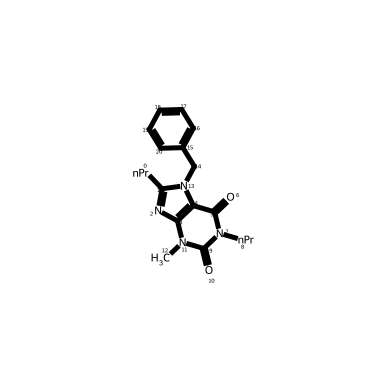 CCCc1nc2c(c(=O)n(CCC)c(=O)n2C)n1Cc1ccccc1